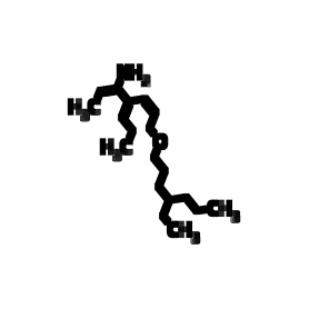 C/C=C(/N)C(=CCC)/C=C\COCCCC(CC)CCC